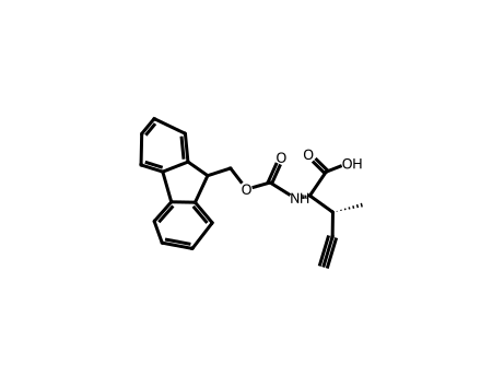 C#C[C@@H](C)[C@H](NC(=O)OCC1c2ccccc2-c2ccccc21)C(=O)O